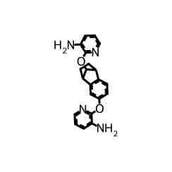 Nc1cccnc1Oc1ccc2c(c1)C1CCC2C1Oc1ncccc1N